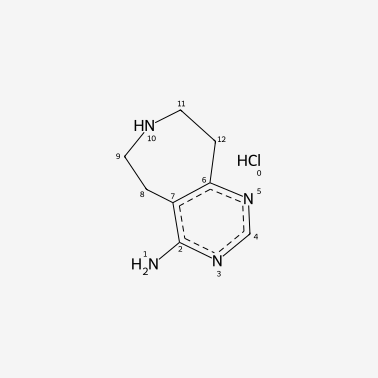 Cl.Nc1ncnc2c1CCNCC2